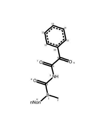 CCCCCCCCCB(C)C(=O)NC(=O)C(=O)c1ccccc1